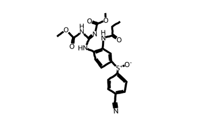 CCC(=O)Nc1cc([S+]([O-])c2ccc(C#N)cc2)ccc1NC(=NC(=O)OC)NC(=O)OC